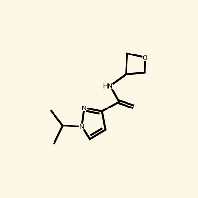 C=C(NC1COC1)c1ccn(C(C)C)n1